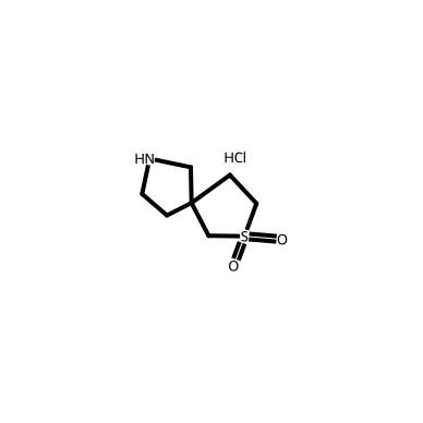 Cl.O=S1(=O)CCC2(CCNC2)C1